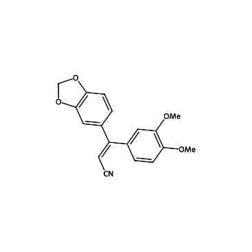 COc1ccc(C(=CC#N)c2ccc3c(c2)OCO3)cc1OC